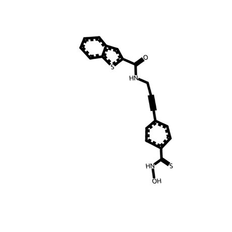 O=C(NCC#Cc1ccc(C(=S)NO)cc1)c1cc2ccccc2s1